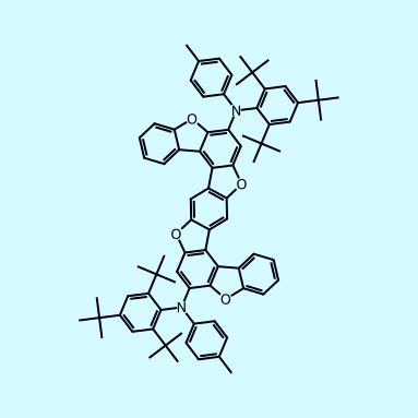 Cc1ccc(N(c2c(C(C)(C)C)cc(C(C)(C)C)cc2C(C)(C)C)c2cc3oc4cc5c(cc4c3c3c2oc2ccccc23)oc2cc(N(c3ccc(C)cc3)c3c(C(C)(C)C)cc(C(C)(C)C)cc3C(C)(C)C)c3oc4ccccc4c3c25)cc1